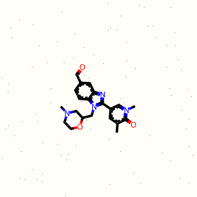 Cc1cc(-c2nc3cc(C=O)ccc3n2CC2CN(C)CCO2)cn(C)c1=O